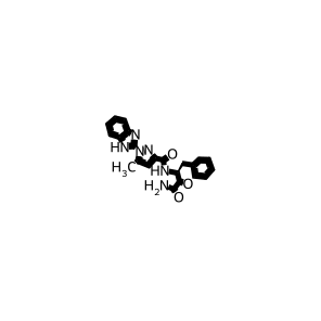 Cc1cc(C(=O)N[C@@H](Cc2ccccc2)C(=O)C(N)=O)nn1-c1nc2ccccc2[nH]1